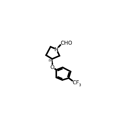 O=CN1CC[C@H](Oc2ccc(C(F)(F)F)cc2)C1